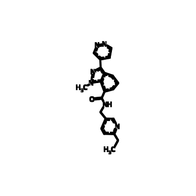 CCc1ccc(CNC(=O)c2cccc3c(-c4ccnnc4)nn(C)c23)cn1